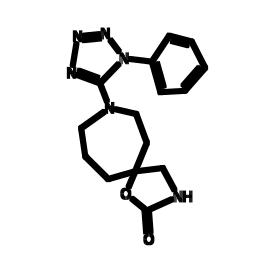 O=C1NCC2(CCCN(c3nnnn3-c3ccccc3)CC2)O1